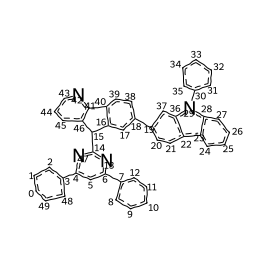 c1ccc(-c2cc(-c3ccccc3)nc(C3c4cc(-c5ccc6c7ccccc7n(-c7ccccc7)c6c5)ccc4-c4ncccc43)n2)cc1